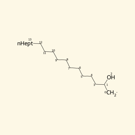 [CH2]C(O)CCCCCCCCCCCCCCCCC